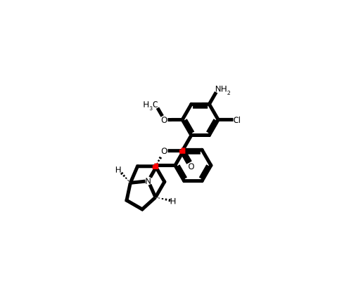 COc1cc(N)c(Cl)cc1C(=O)O[C@@H]1C[C@H]2CC[C@@H](C1)N2Cc1ccccc1